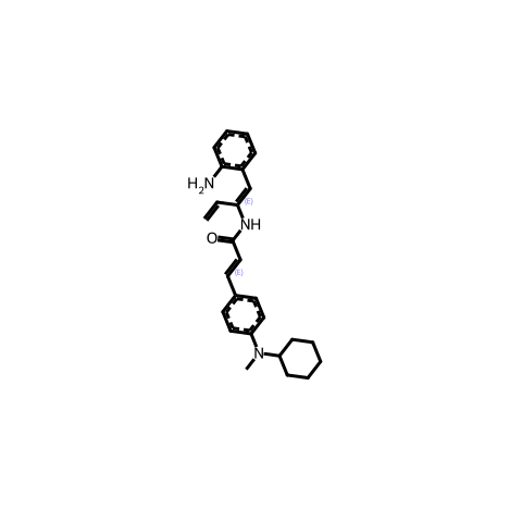 C=C/C(=C\c1ccccc1N)NC(=O)/C=C/c1ccc(N(C)C2CCCCC2)cc1